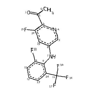 CC(=O)c1ncc(Nc2c(F)cccc2C(F)(F)F)cc1F